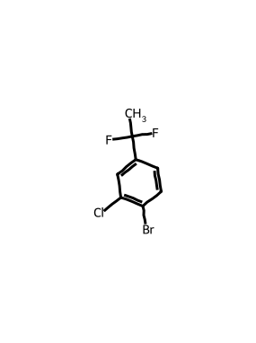 CC(F)(F)c1ccc(Br)c(Cl)c1